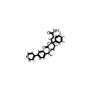 C[C@@H](c1ccc(-c2ccncc2)cc1)N1CCC(CCC(N)=O)(c2ccccc2)OC1=O